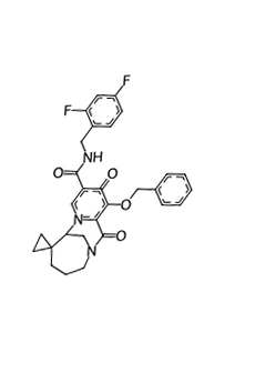 O=C(NCc1ccc(F)cc1F)c1cn2c(c(OCc3ccccc3)c1=O)C(=O)N1CCCC3(CC3)C2C1